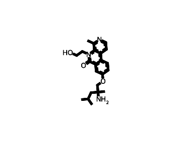 Cc1nccc2c3ccc(OCC(C)(N)CC(C)C)cc3c(=O)n(CCO)c12